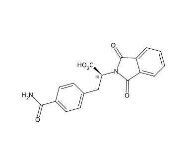 NC(=O)c1ccc(C[C@@H](C(=O)O)N2C(=O)c3ccccc3C2=O)cc1